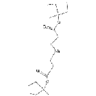 CCC(C)(CC)OC(=O)CCNCCC(=O)OC(C)(CC)CC